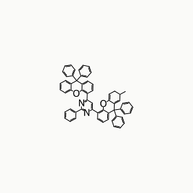 CC1C=C2C(=CC1)Oc1c(-c3cc(-c4cccc5c4Oc4ccccc4C5(c4ccccc4)c4ccccc4)nc(-c4ccccc4)n3)cccc1C2(c1ccccc1)c1ccccc1